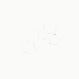 CCC12CCC(C1)c1c2c(C(=O)O)nn1-c1ccc(F)cc1F